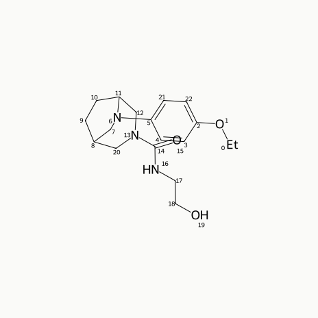 CCOc1ccc(N2CC3CCC2CN(C(=O)NCCO)C3)cc1